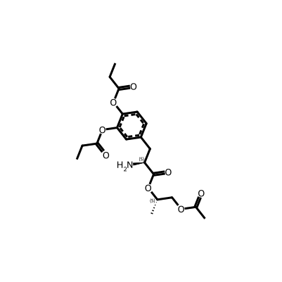 CCC(=O)Oc1ccc(C[C@H](N)C(=O)O[C@@H](C)COC(C)=O)cc1OC(=O)CC